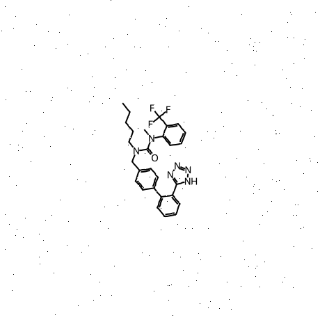 CCCCCN(Cc1ccc(-c2ccccc2-c2nnn[nH]2)cc1)C(=O)N(C)c1ccccc1C(F)(F)F